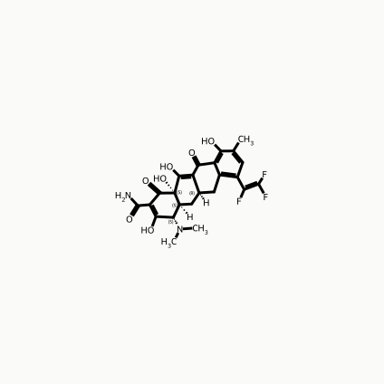 Cc1cc(C(F)=C(F)F)c2c(c1O)C(=O)C1=C(O)[C@]3(O)C(=O)C(C(N)=O)=C(O)[C@@H](N(C)C)[C@@H]3C[C@@H]1C2